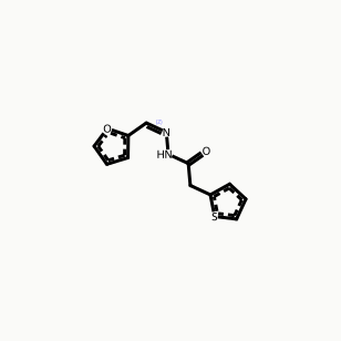 O=C(Cc1cccs1)N/N=C\c1ccco1